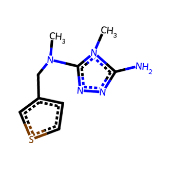 CN(Cc1ccsc1)c1nnc(N)n1C